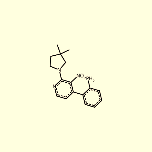 CC1(C)CCN(c2nccc(-c3ccccc3P)c2[N+](=O)[O-])C1